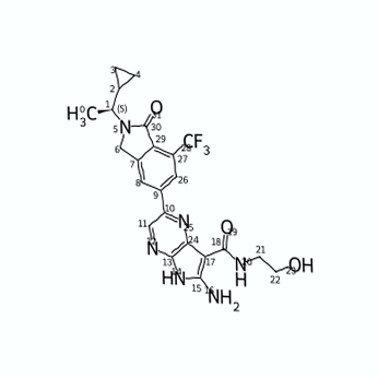 C[C@@H](C1CC1)N1Cc2cc(-c3cnc4[nH]c(N)c(C(=O)NCCO)c4n3)cc(C(F)(F)F)c2C1=O